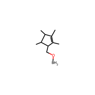 BOCC1C(C)=C(C)C(C)C1C